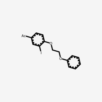 CC(=O)c1ccc(OCCOc2ccccc2)c(I)c1